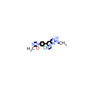 CCNc1ncc2c(n1)N1CCN=C1C(c1ccc(-n3ccnc(C)c3=O)cc1Cl)=C2